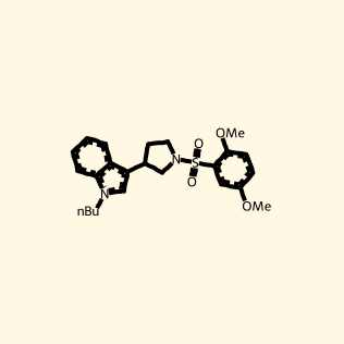 CCCCn1cc(C2CCN(S(=O)(=O)c3cc(OC)ccc3OC)C2)c2ccccc21